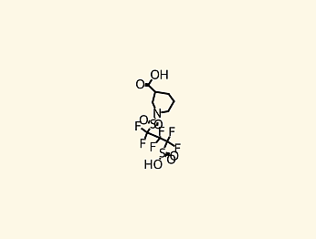 O=C(O)C1CCCN(S(=O)(=O)C(F)(F)C(F)(F)C(F)(F)S(=O)(=O)O)C1